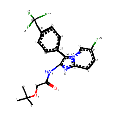 CC(C)(C)OCC(=O)Nc1nc2ccc(F)cn2c1-c1ccc(C(F)(F)F)cc1